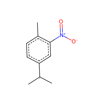 C[C](C)c1ccc(C)c([N+](=O)[O-])c1